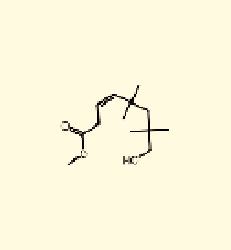 COC(=O)C/C=C\C(C)(C)CC(C)(C)CO